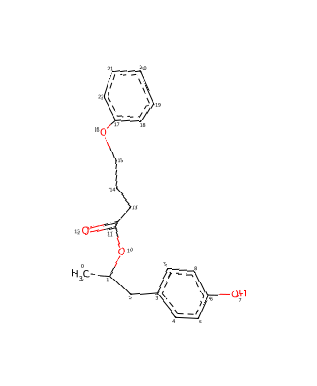 CC(Cc1ccc(O)cc1)OC(=O)CCCOc1ccccc1